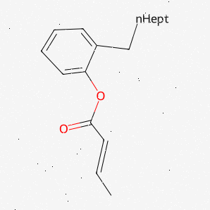 CC=CC(=O)Oc1ccccc1CCCCCCCC